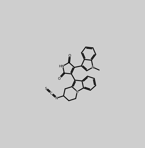 Cn1cc(C2=C(c3c4n(c5ccccc35)CCC(N=C=S)C4)C(=O)NC2=O)c2ccccc21